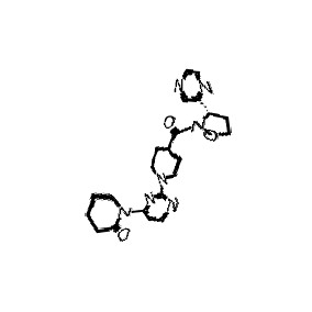 O=C1CCCCN1c1ccnc(N2CCC(C(=O)N3OCC[C@H]3c3cnccn3)CC2)n1